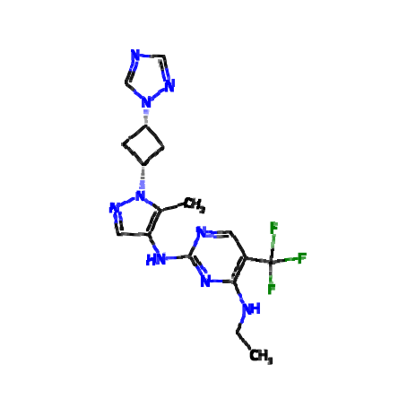 CCNc1nc(Nc2cnn([C@H]3C[C@@H](n4cncn4)C3)c2C)ncc1C(F)(F)F